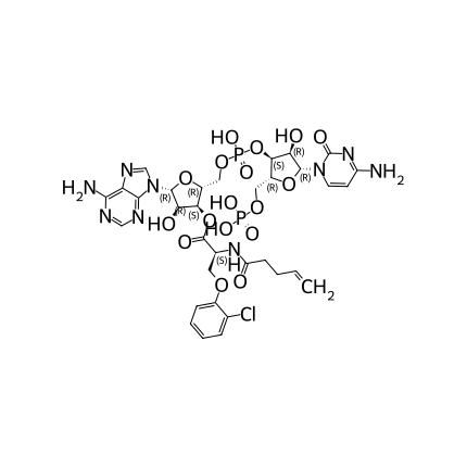 C=CCCC(=O)N[C@@H](COc1ccccc1Cl)C(=O)O[C@H]1[C@@H](O)[C@H](n2cnc3c(N)ncnc32)O[C@@H]1COP(=O)(O)O[C@H]1[C@@H](O)[C@H](n2ccc(N)nc2=O)O[C@@H]1COP(=O)(O)O